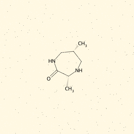 C[C@H]1CNC(=O)[C@@H](C)NC1